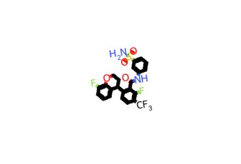 NS(=O)(=O)c1cccc(NC(=O)c2c(C3CCOc4c(F)cccc43)ccc(C(F)(F)F)c2F)c1